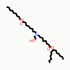 CCCCCCCCCOC(=O)CCCCCCCN(CCO)CCCCCCCC(=O)OC(CCCCCC)CCCCCC